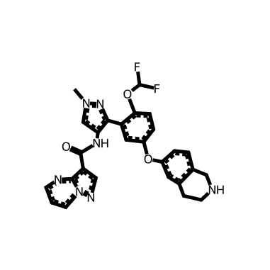 Cn1cc(NC(=O)c2cnn3cccnc23)c(-c2cc(Oc3ccc4c(c3)CCNC4)ccc2OC(F)F)n1